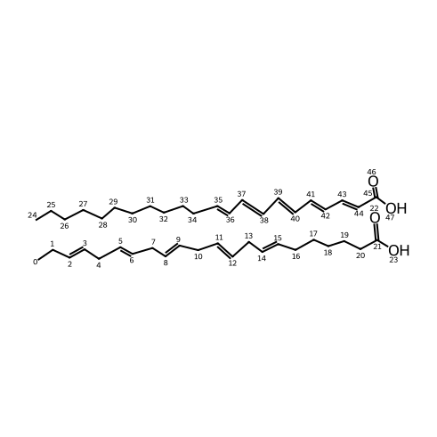 CCC=CCC=CCC=CCC=CCC=CCCCCCC(=O)O.CCCCCCCCCCCC=CC=CC=CC=CC=CC(=O)O